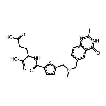 Cc1nc2ccc(CN(C)Cc3ccc(C(=O)NC(CCC(=O)O)C(=O)O)s3)cc2c(=O)[nH]1